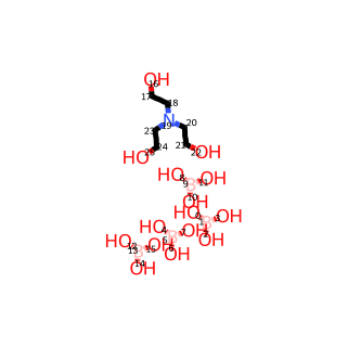 OB(O)O.OB(O)O.OB(O)O.OB(O)O.OCCN(CCO)CCO